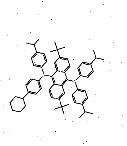 CC(C)c1ccc(N(c2ccc(C(C)C)cc2)c2c3ccc(C(C)(C)C)cc3c(N(c3ccc(C(C)C)cc3)c3ccc(C4CCCCC4)cc3)c3ccc(C(C)(C)C)cc23)cc1